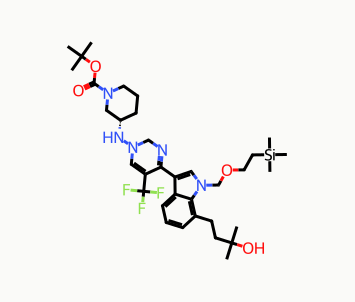 CC(C)(O)CCc1cccc2c(C3=NCN(N[C@H]4CCCN(C(=O)OC(C)(C)C)C4)C=C3C(F)(F)F)cn(COCC[Si](C)(C)C)c12